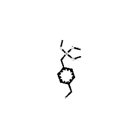 CO[Si](Cc1ccc(CI)cc1)(OC)OC